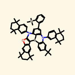 CC(C)(C)c1ccc2c(c1)N(c1ccc3c(c1)C(C)(C)CCC3(C)C)c1cc(-c3ccccc3[Si](C)(C)C)cc3c1B2c1c(oc2cc4c(cc12)C(C)(C)CCC4(C)C)N3c1ccc2c(c1)C(C)(C)CCC2(C)C